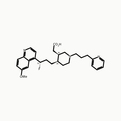 COc1ccc2nccc([C@@H](F)CC[C@@H]3CCN(CCCc4ccccn4)C[C@@H]3CC(=O)O)c2c1